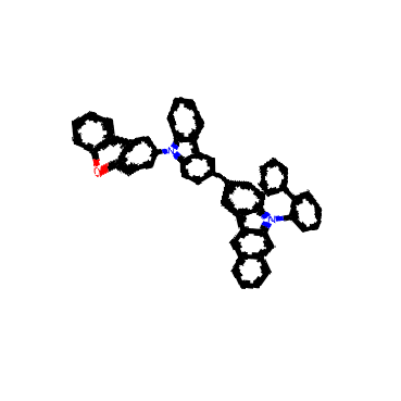 c1ccc(-c2ccccc2-n2c3ccc(-c4ccc5c(c4)c4ccccc4n5-c4ccc5oc6ccccc6c5c4)cc3c3cc4ccccc4cc32)cc1